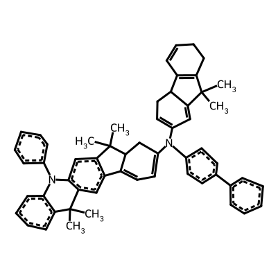 CC1(C)C2=CC(N(C3=CC=C4c5cc6c(cc5C(C)(C)C4C3)N(c3ccccc3)c3ccccc3C6(C)C)c3ccc(-c4ccccc4)cc3)=CCC2C2=C1CCC=C2